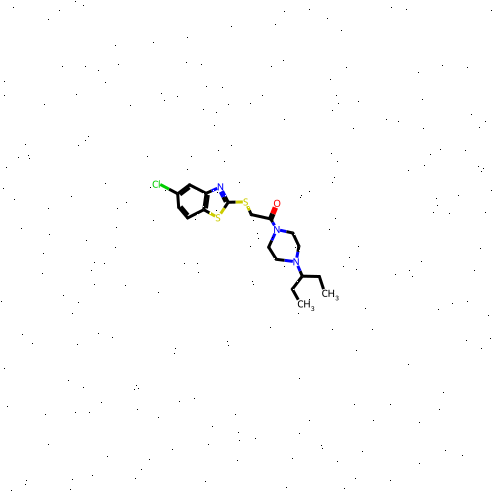 CCC(CC)N1CCN(C(=O)CSc2nc3cc(Cl)ccc3s2)CC1